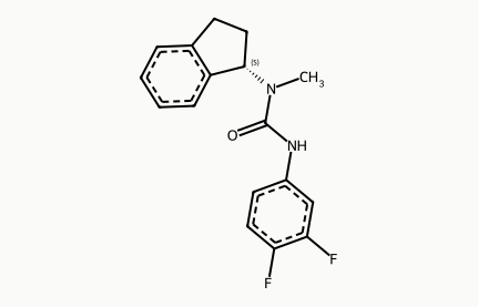 CN(C(=O)Nc1ccc(F)c(F)c1)[C@H]1CCc2ccccc21